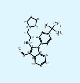 CC(C)(C)c1ccc(-n2c(NCCN3CCCC3)c(C=O)c3ccccc32)cc1